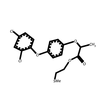 CSCCOC(=O)C(C)Oc1ccc(Oc2ccc(Cl)cc2Cl)cc1